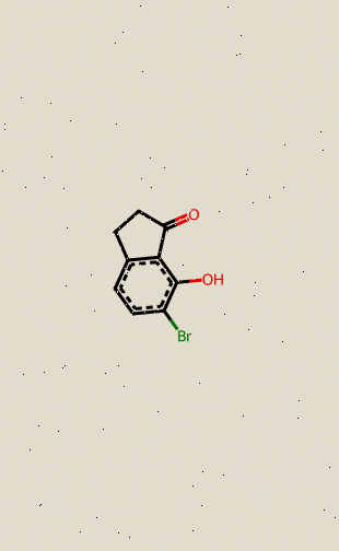 O=C1CCc2ccc(Br)c(O)c21